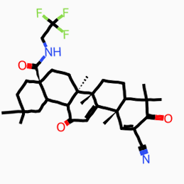 CC1(C)CC[C@]2(C(=O)NCC(F)(F)F)CC[C@]3(C)C(C(=O)C=C4[C@@]5(C)C=C(C#N)C(=O)C(C)(C)C5CC[C@]43C)C2C1